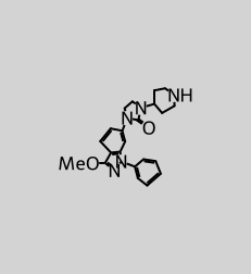 COc1nn(-c2ccccc2)c2cc(N3CCN(C4CCNCC4)C3=O)ccc12